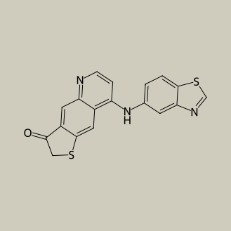 O=C1CSc2cc3c(Nc4ccc5scnc5c4)ccnc3cc21